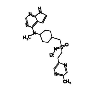 CCN=S(=O)(CCc1cnc(C)cn1)CC1CCC(N(C)c2ncnc3[nH]ccc23)CC1